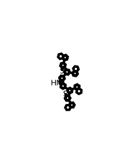 c1cc2c(c(-c3ccc4sc5c(-c6ccc7[nH]c8ccc(-c9cc(-c%10cccc%11c%10CCCC%11)cc%10c9sc9ccc(-c%11cccc%12c%11CCCC%12)cc9%10)cc8c7c6)cc(-c6cccc7c6CCCC7)cc5c4c3)c1)CCCC2